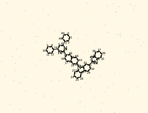 c1ccc(-c2cc(-c3ccccc3)nc(-c3ccc4cc(-n5c6ccccc6c6ccc(-c7nc8ccccc8s7)cc65)ccc4c3)n2)cc1